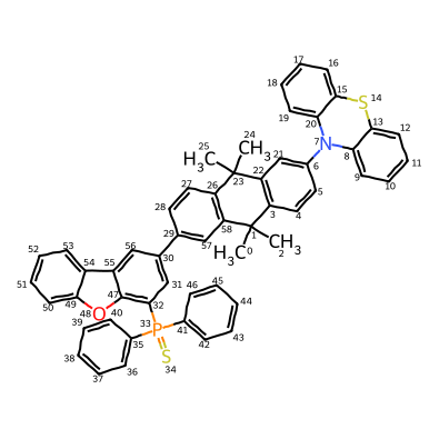 CC1(C)c2ccc(N3c4ccccc4Sc4ccccc43)cc2C(C)(C)c2ccc(-c3cc(P(=S)(c4ccccc4)c4ccccc4)c4oc5ccccc5c4c3)cc21